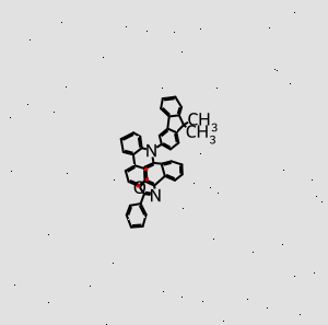 CC1(C)c2ccccc2-c2cc(N(c3ccccc3-c3ccccc3)c3cc4oc(-c5ccccc5)nc4c4ccccc34)ccc21